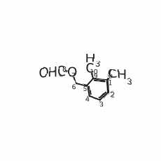 Cc1cccc(COC=O)c1C